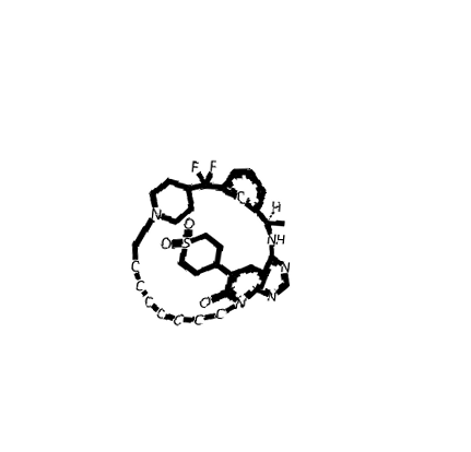 C[C@H]1Nc2ncnc3c2cc(C2CCS(=O)(=O)CC2)c(=O)n3CCCCCCCCN2CCC(CC2)C(F)(F)c2cccc1c2